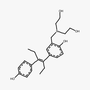 CC/C(=C(/CC)c1ccc(O)c(CN(CCO)CCO)c1)c1ccc(O)cc1